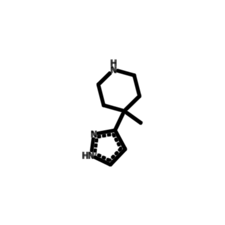 CC1(c2cc[nH]n2)CCNCC1